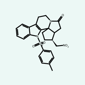 Cc1ccc(S(=O)(=O)n2c3c(c4ccccc42)CCN2C(=O)CC4[C@@H](C[N+](=O)[O-])[C@H](C)CC342)cc1